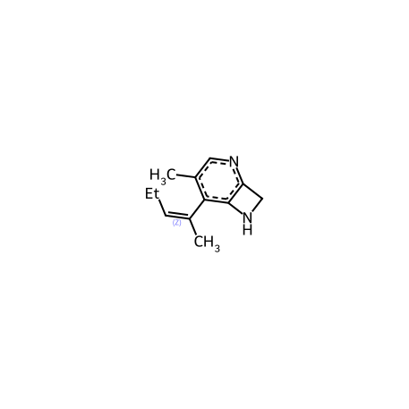 CC/C=C(/C)c1c(C)cnc2c1NC2